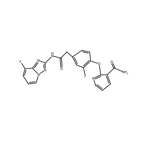 NC(=O)c1cccnc1Oc1ccc(CC(=O)Nc2nc3c(F)cccn3n2)cc1F